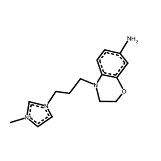 C[n+]1ccn(CCCN2CCOc3cc(N)ccc32)c1